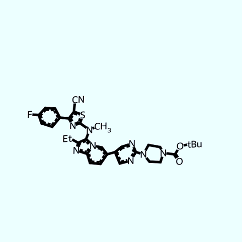 CCc1nc2ccc(-c3cnc(N4CCN(C(=O)OC(C)(C)C)CC4)nc3)cn2c1N(C)c1nc(-c2ccc(F)cc2)c(C#N)s1